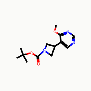 COc1ncncc1C1CN(C(=O)OC(C)(C)C)C1